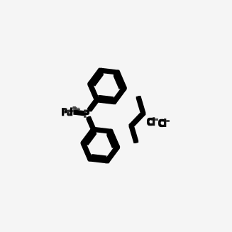 CCCC.[Cl-].[Cl-].[Pd+2][P](c1ccccc1)c1ccccc1